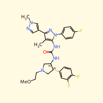 COCCN1C[C@@H](NC(=O)Nc2c(C)c(-c3cnn(C)c3)nn2-c2ccc(F)cc2)[C@H](c2ccc(F)c(F)c2)C1